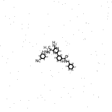 C/C(=N\Nc1ccc(C#N)cc1)c1nc(-c2cccc(C(=O)NCc3ccccc3)c2)cnc1N